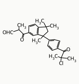 CC(C=O)C(=O)c1ccc2c(c1)C(C)(c1ccc(C(=O)C(C)(C)Cl)cc1)CC2(C)C